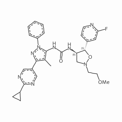 COCCN1C[C@@H](NC(=O)Nc2c(C)c(-c3cnc(C4CC4)nc3)nn2-c2ccccc2)[C@H](c2ccnc(F)c2)O1